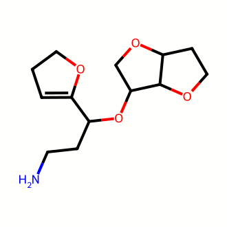 NCCC(OC1COC2CCOC21)C1=CCCO1